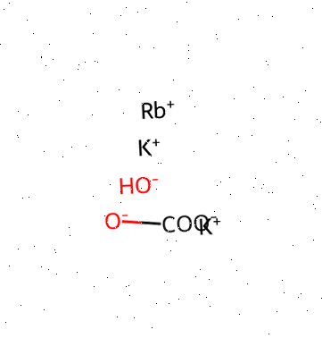 O=C([O-])[O-].[K+].[K+].[OH-].[Rb+]